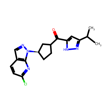 CC(C)c1cc(C(=O)C2CC[C@@H](n3ncc4ccc(Cl)nc43)C2)[nH]n1